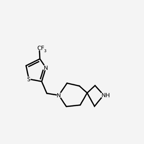 FC(F)(F)c1csc(CN2CCC3(CC2)CNC3)n1